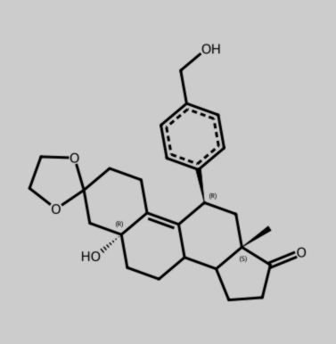 C[C@]12C[C@H](c3ccc(CO)cc3)C3=C4CCC5(C[C@]4(O)CCC3C1CCC2=O)OCCO5